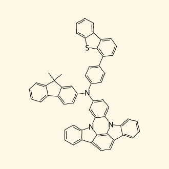 CC1(C)c2ccccc2-c2ccc(N(c3ccc(-c4cccc5c4sc4ccccc45)cc3)c3ccc4c(c3)n3c5ccccc5c5ccc6c7ccccc7n4c6c53)cc21